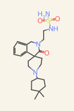 CC1(C)CCC(N2CCC3(CC2)C(=O)N(CCNS(N)(=O)=O)Cc2ccccc23)CC1